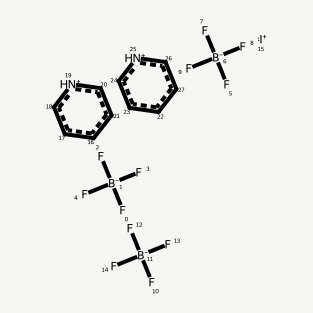 F[B-](F)(F)F.F[B-](F)(F)F.F[B-](F)(F)F.[I+].c1cc[nH+]cc1.c1cc[nH+]cc1